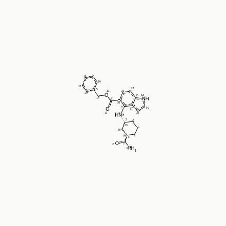 NC(=O)[C@@H]1CCC[C@@H](Nc2c(C(=O)OCc3ccccc3)cnc3[nH]ccc23)C1